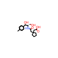 Cc1ccc([C@H](O)[C@H](CO)NC(=O)CC2(CC(=O)O)CCCC2)cc1